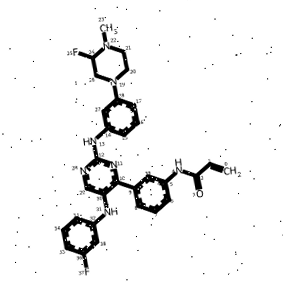 C=CC(=O)Nc1cccc(-c2nc(Nc3cccc(N4CCN(C)C(F)C4)c3)ncc2Nc2cccc(F)c2)c1